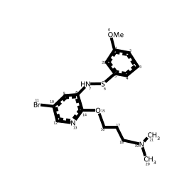 COc1cccc(SNc2cc(Br)cnc2OCCCN(C)C)c1